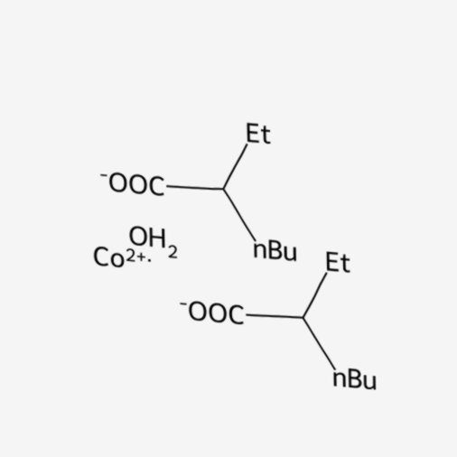 CCCCC(CC)C(=O)[O-].CCCCC(CC)C(=O)[O-].O.[Co+2]